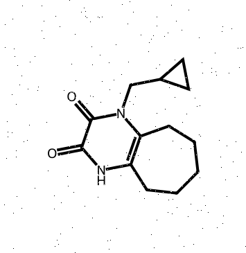 O=c1[nH]c2c(n(CC3CC3)c1=O)CCCCC2